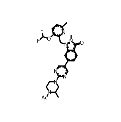 CC(=O)N1CCN(c2ncc(-c3ccc4c(=O)n(C)n(Cc5nc(C)ccc5OC(F)F)c4c3)cn2)CC1C